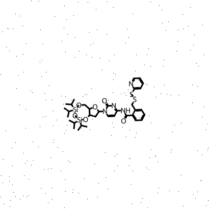 CC(C)[Si]1(C(C)C)OCC2OC(n3ccc(NC(=O)c4ccccc4CSSc4ccccn4)nc3=O)CC2O[Si](C(C)C)(C(C)C)O1